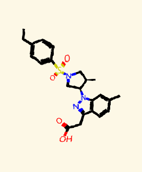 CCc1ccc(S(=O)(=O)N2C[C@@H](C)[C@@H](n3nc(CC(=O)O)c4ccc(C)cc43)C2)cc1